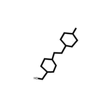 CC1CCC(CCC2CCC(CO)CC2)CC1